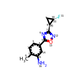 Cc1ccc(-c2nc([C@H]3C[C@@H]3F)no2)cc1N